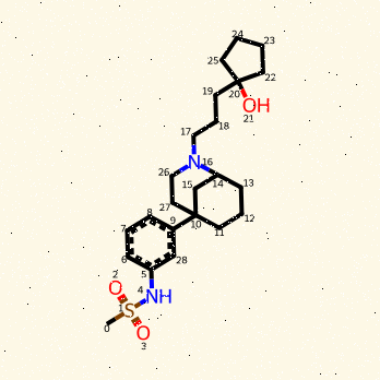 CS(=O)(=O)Nc1cccc(C23CCCC(C2)N(CCCC2(O)CCCC2)CC3)c1